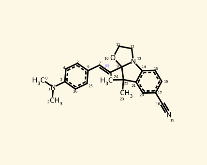 CN(C)c1ccc(/C=C/C23OCCN2c2ccc(C#N)cc2C3(C)C)cc1